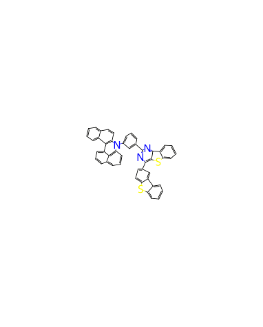 c1cc(-c2nc(-c3ccc4sc5ccccc5c4c3)c3sc4ccccc4c3n2)cc(N2c3ccc4ccccc4c3-c3cccc4cccc2c34)c1